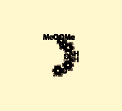 COC(Cn1cc2cc(NC(=O)Nc3ccc(Oc4ccccc4)cc3)ccc2n1)OC